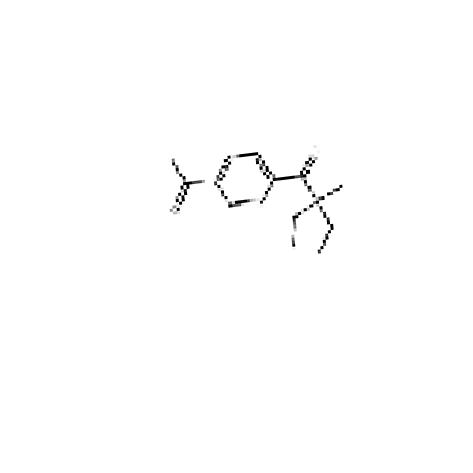 CCC(C)(CC)C(=O)c1ccc(C(C)=O)cc1